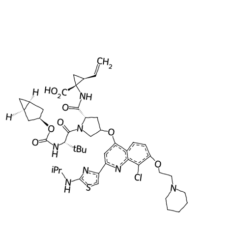 C=C[C@@H]1C[C@]1(NC(=O)[C@@H]1CC(Oc2cc(-c3csc(NC(C)C)n3)nc3c(Cl)c(OCCN4CCCCC4)ccc23)CN1C(=O)[C@@H](NC(=O)O[C@@H]1C[C@@H]2C[C@@H]2C1)C(C)(C)C)C(=O)O